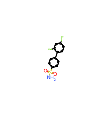 NS(=O)(=O)c1ccc(-c2ccc(F)cc2F)cc1